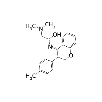 Cc1ccc(C2COc3ccccc3C2=NC(O)CN(C)C)cc1